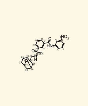 O=C(Nc1cccc([N+](=O)[O-])c1)c1cccc(S(=O)(=O)NCC23CC4CC(CC(C4)C2)C3)c1